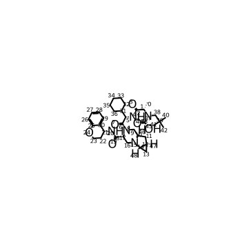 C[C@@H](C(=O)N[C@H](C(=O)N1C[C@H]2C[C@H]3C[C@H]3N2C[C@H]1C(=O)N[C@@H]1CCOc2ccccc21)C1CCCCC1)N(CC(C)(C)C)C(=O)O